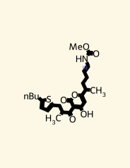 CCCCc1ccc(CC(C)C(=O)c2c(O)cc(C(C)CC/C=C/NC(=O)OC)oc2=O)s1